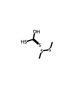 CSSC.OC(=S)S